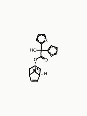 CN1C2C=C[C@@H]1C[C@@H](OC(=O)C(O)(c1cccs1)c1cccs1)C2